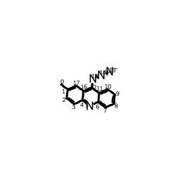 Cc1ccc2nc3ccccc3c(N=[N+]=[N-])c2c1